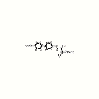 CCCCCCCCCc1ccc(-c2ncc(OCC(F)C(C)CCCCC)cn2)cc1